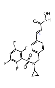 O=C(/C=C/c1ccc(CN(C2CC2)S(=O)(=O)c2c(F)c(F)cc(F)c2F)cc1)NO